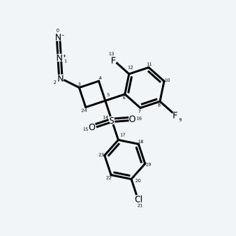 [N-]=[N+]=NC1CC(c2cc(F)ccc2F)(S(=O)(=O)c2ccc(Cl)cc2)C1